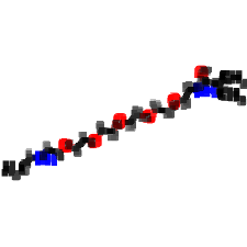 CCNCCOCCOCCOCCOCCOCCNC(=O)C(C)C